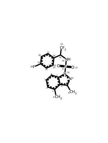 Cc1cccc2c1c(C)nn2S(=O)(=O)NC(c1ccc(F)cc1)C(F)(F)F